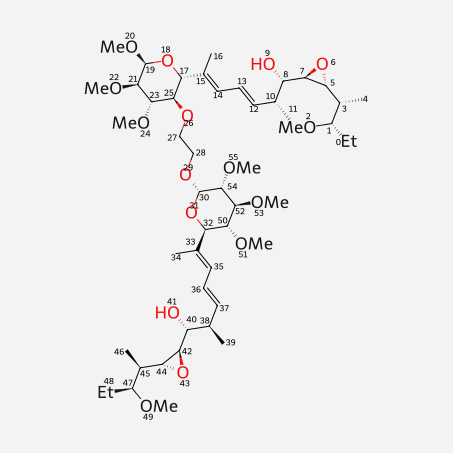 CC[C@H](OC)[C@@H](C)[C@H]1O[C@@H]1[C@@H](O)[C@H](C)/C=C/C=C(\C)[C@H]1O[C@H](OC)[C@H](OC)[C@@H](OC)[C@@H]1OCCO[C@H]1O[C@H](/C(C)=C/C=C/[C@@H](C)[C@@H](O)[C@H]2O[C@@H]2[C@H](C)[C@H](CC)OC)[C@@H](OC)[C@H](OC)[C@H]1OC